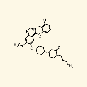 CCCCN1CCN([C@H]2CC[C@@H](Oc3cc4c(Nc5cccc(Cl)c5F)ncnc4cc3OC)CC2)CC1=O